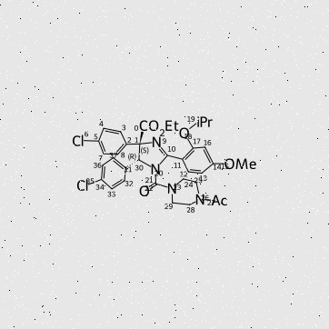 CCOC(=O)[C@@]1(c2ccc(Cl)cc2)N=C(c2ccc(OC)cc2OC(C)C)N(C(=O)N2CCN(C(C)=O)CC2)[C@@H]1c1ccc(Cl)cc1